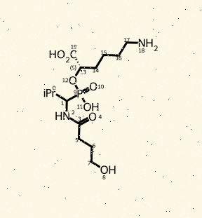 CC(C)C(NC(=O)CCCO)P(=O)(O)O[C@@H](CCCCN)C(=O)O